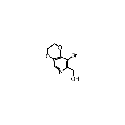 OCc1ncc2c(c1Br)OCCO2